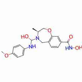 COc1ccc(NC(O)N2Cc3ccc(C(=O)NO)cc3OC[C@@H]2C)cc1